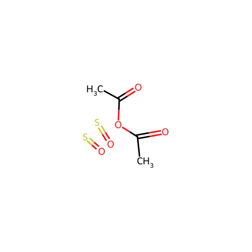 CC(=O)OC(C)=O.O=S.O=S